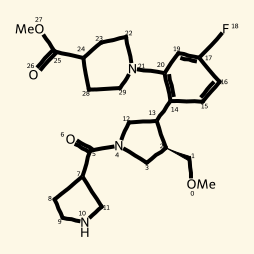 COC[C@H]1CN(C(=O)C2CCNC2)CC1c1ccc(F)cc1N1CCC(C(=O)OC)CC1